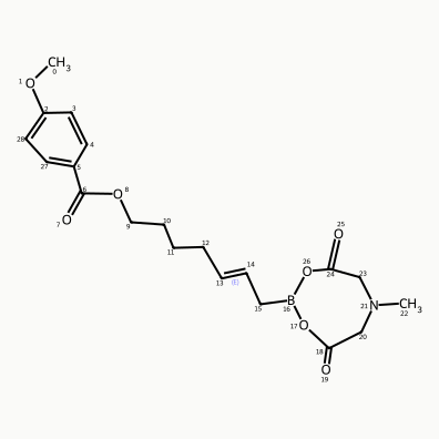 COc1ccc(C(=O)OCCCC/C=C/CB2OC(=O)CN(C)CC(=O)O2)cc1